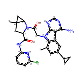 Cc1cc(C2CC2)cc2c3c(N)ncnc3n(CC(=O)N3C(C(=O)Nc4cccc(Br)n4)CC4(C)CC34)c12